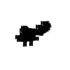 C[C@@H]1O[C@@H](O[C@H]2[C@H](O[C@H]3CC[C@]4(C)[C@H]5[C@@H](O)CC6=C7[C@]8(CC[C@](C)(OC8=O)[C@@]7(C)O)CC[C@@]6(C)[C@]5(C)CC[C@H]4C3(C)C)OC[C@H](O)[C@@H]2O[C@@H]2O[C@H](CO)[C@@H](O)[C@H](O)[C@H]2O[C@@H]2O[C@H](CO)[C@@H](O)[C@H](O)[C@H]2O)[C@H](O)[C@H](O)[C@H]1O